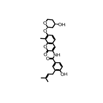 CC(C)=CCc1cc(C(=O)Nc2cc3ccc(O[C@@H]4C[C@H](O)CCO4)c(C)c3oc2=O)ccc1O